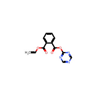 C=COC(=O)c1ccccc1C(=O)Oc1ncncn1